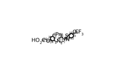 Cc1cc(CN2CCN(c3nc4ccc(OC(F)(F)F)cc4s3)[C@H](CC(C)C)C2)cc(OCC(=O)O)c1